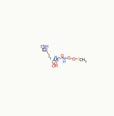 CSCCOCCOCCNC(=O)CCc1ncc([C@@H](CCCCCCc2ccc3c(n2)NCCC3)CC(=O)O)cn1